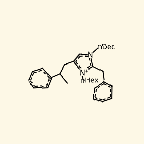 CCCCCCCCCCn1cc(CC(C)c2ccccc2)[n+](CCCCCC)c1Cc1ccccc1